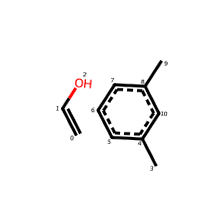 C=CO.Cc1cccc(C)c1